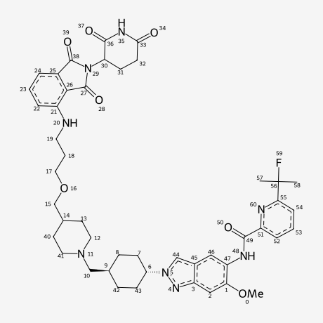 COc1cc2nn([C@H]3CC[C@H](CN4CCC(COCCCNc5cccc6c5C(=O)N(C5CCC(=O)NC5=O)C6=O)CC4)CC3)cc2cc1NC(=O)c1cccc(C(C)(C)F)n1